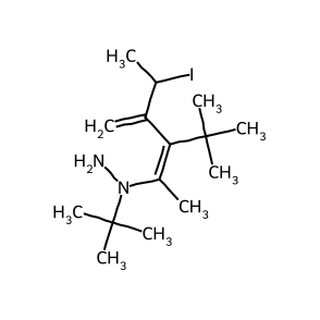 C=C(/C(=C(/C)N(N)C(C)(C)C)C(C)(C)C)C(C)I